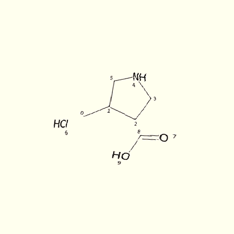 CC1CCNC1.Cl.O=CO